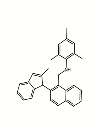 CC1=Cc2ccccc2C1c1ccc2ccccc2c1CNc1c(C)cc(C)cc1C